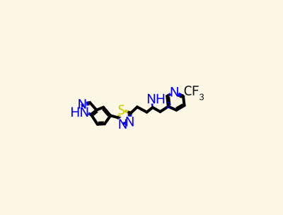 N[C@H](CCc1nnc(-c2ccc3[nH]ncc3c2)s1)Cc1ccc(C(F)(F)F)nc1